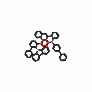 c1ccc(-c2ccc(N(c3ccc(-c4cccc(-c5ccccc5)c4-n4c5ccccc5c5ccccc54)cc3)c3ccccc3-c3cc4ccccc4c4ccccc34)cc2)cc1